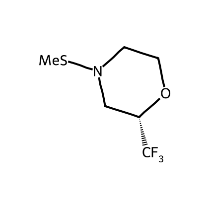 CSN1CCO[C@H](C(F)(F)F)C1